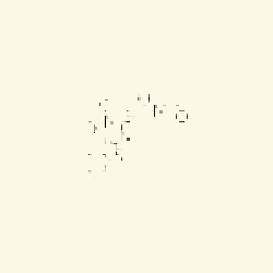 O=C(CSc1nc2sc3c(c2c(=O)n1C1CC1)CCSC3)N1CCOCC1